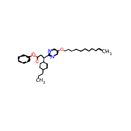 C=CCCCCCCCCCOc1cnc(C(CC(=O)Oc2ccccc2)C2CCC(CCC)CC2)nc1